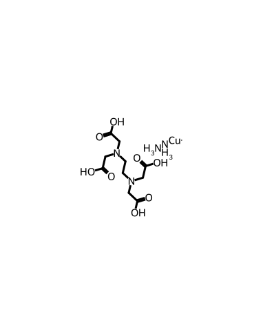 N.N.O=C(O)CN(CCN(CC(=O)O)CC(=O)O)CC(=O)O.[Cu]